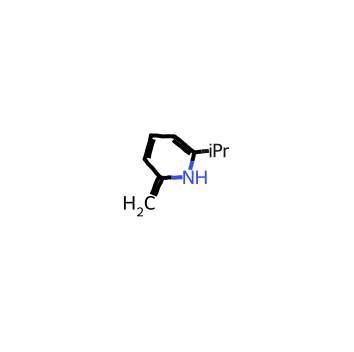 C=C1C=CC=C(C(C)C)N1